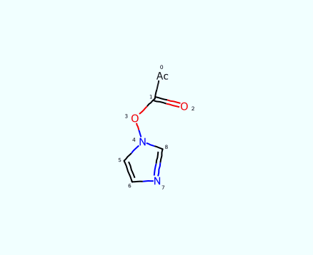 CC(=O)C(=O)On1ccnc1